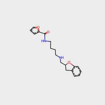 O=C(NCCCCNCC1Cc2ccccc2O1)c1ccco1